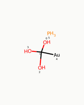 O[C](O)(O)[Au].P